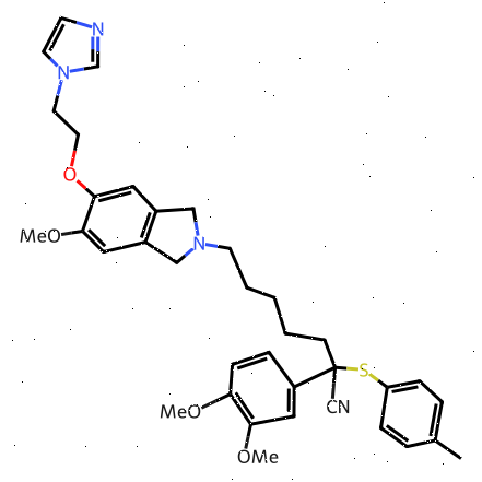 COc1ccc(C(C#N)(CCCCCN2Cc3cc(OC)c(OCCn4ccnc4)cc3C2)Sc2ccc(C)cc2)cc1OC